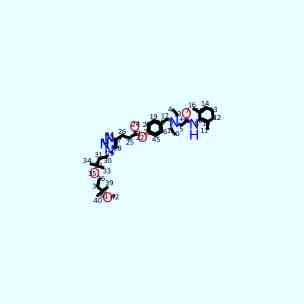 CC[N+](CC)(CC(=O)NC1=C(C)CCC=C1C)Cc1ccc(OC(=O)CCc2cn(CCC(C)(C)OCCC(C)(C)OC)nn2)cc1